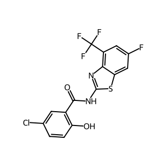 O=C(Nc1nc2c(C(F)(F)F)cc(F)cc2s1)c1cc(Cl)ccc1O